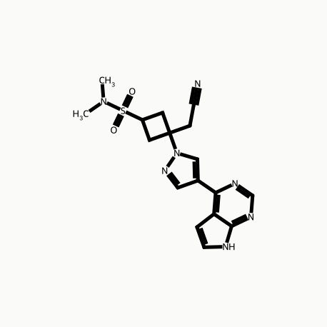 CN(C)S(=O)(=O)C1CC(CC#N)(n2cc(-c3ncnc4[nH]ccc34)cn2)C1